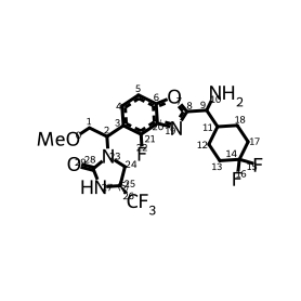 COCC(c1ccc2oc(C(N)C3CCC(F)(F)CC3)nc2c1F)N1C[C@@H](C(F)(F)F)NC1=O